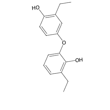 CCc1cc(Oc2cccc(CC)c2O)ccc1O